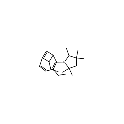 CCC1=C(N2C(C)C(C)(C)CC2(C)C)C2C=C(C=C1)C2CC